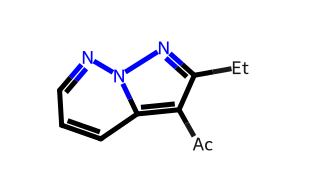 CCc1nn2ncccc2c1C(C)=O